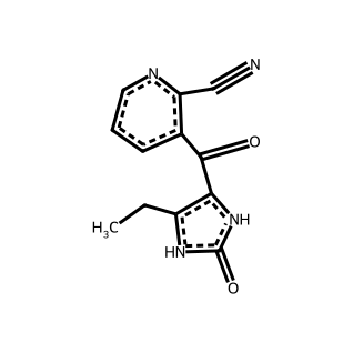 CCc1[nH]c(=O)[nH]c1C(=O)c1cccnc1C#N